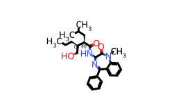 CCC[C@H](CO)[C@@H](CC(C)C)C(=O)NC1N=C(c2ccccc2)c2ccccc2N(C)C1=O